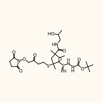 CCC(C)(CC(C)(SCCC(=O)CON1C(=O)CCC1=O)C(=O)S(=P)NNC(=O)OC(C)(C)C)C(=O)NCC(C)O